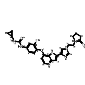 O=C(Nc1ccc(Oc2ccnc3cc(-c4cn(CCN5CCCC5=O)cn4)sc23)c(F)c1)NC1CC1